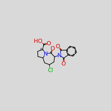 O=C(O)[C@@H]1CCC2CC(Cl)CC(N3C(=O)c4ccccc4C3=O)C(=O)N21